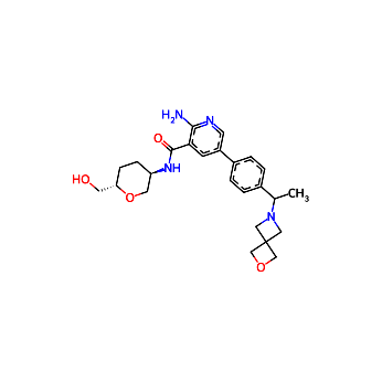 CC(c1ccc(-c2cnc(N)c(C(=O)N[C@@H]3CC[C@@H](CO)OC3)c2)cc1)N1CC2(COC2)C1